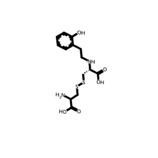 NC(CSSC[C@H](NCCc1ccccc1O)C(=O)O)C(=O)O